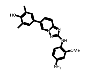 COc1cc(N)ccc1Nc1nc2ccc(-c3cc(C)c(O)c(C)c3)cn2n1